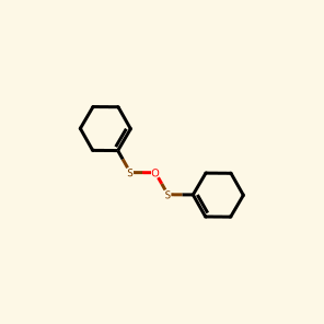 C1=C(SOSC2=CCCCC2)CCCC1